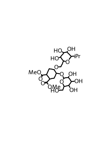 COC(=O)C1CC(OCC2OC(C(C)C)C(O)C(O)C2O)C(OC2OC(CO)C(O)C(O)C2O)CC1C(=O)OC